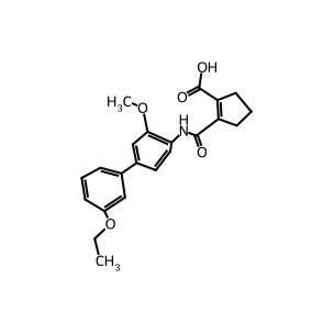 CCOc1cccc(-c2ccc(NC(=O)C3=C(C(=O)O)CCC3)c(OC)c2)c1